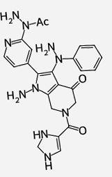 CC(=O)N(N)c1cc(-c2c(N(N)c3ccccc3)c3c(n2N)CN(C(=O)C2=CNCN2)CC3=O)ccn1